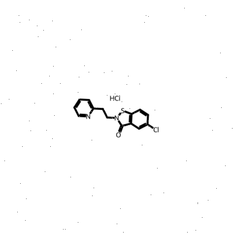 Cl.O=c1c2cc(Cl)ccc2sn1CCc1ccccn1